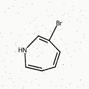 BrC1=CNC=CC=C1